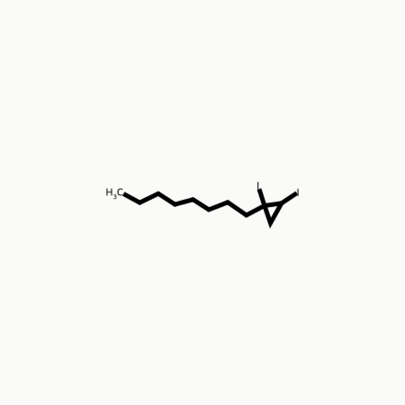 CCCCCCCCC1(I)CC1I